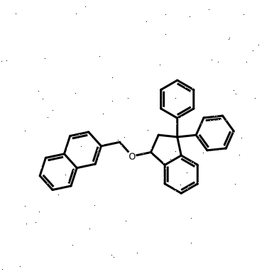 c1ccc(C2(c3ccccc3)CC(OCc3ccc4ccccc4c3)c3ccccc32)cc1